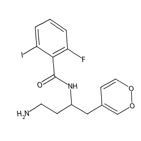 NCCC(CC1=COOC=C1)NC(=O)c1c(F)cccc1I